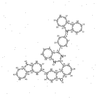 c1ccc2c(-c3ccc(-n4c5ccccc5c5ccccc54)cc3)nc(-c3cccc4oc5ccc(-c6ccc7sc8ccccc8c7c6)cc5c34)nc2c1